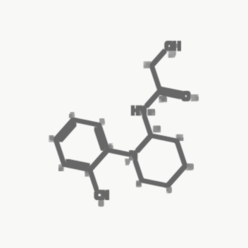 N#Cc1ccccc1N1CCCCC1NC(=O)CO